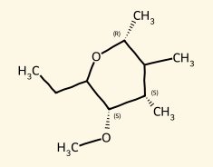 CCC1O[C@H](C)C(C)[C@H](C)[C@@H]1OC